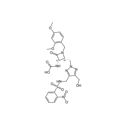 COc1ccc(CN2C(=O)[C@@H](NC(=O)O)[C@H]2Cn2nc(CO)c(CNS(=O)(=O)c3ccccc3[N+](=O)[O-])n2)c(OC)c1